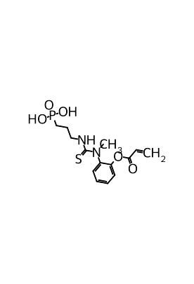 C=CC(=O)Oc1ccccc1N(C)C(=S)NCCCP(=O)(O)O